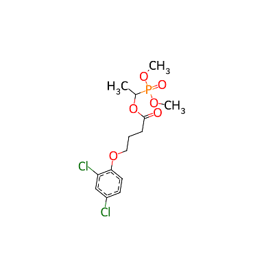 COP(=O)(OC)C(C)OC(=O)CCCOc1ccc(Cl)cc1Cl